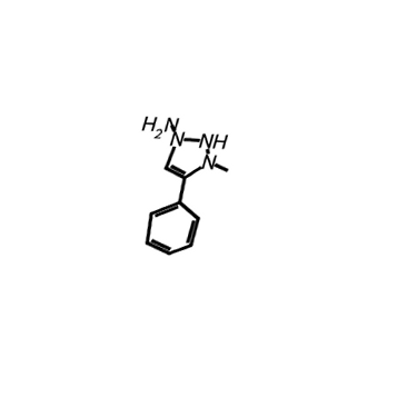 CN1NN(N)C=C1c1ccccc1